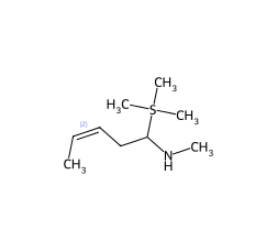 C/C=C\CC(NC)S(C)(C)C